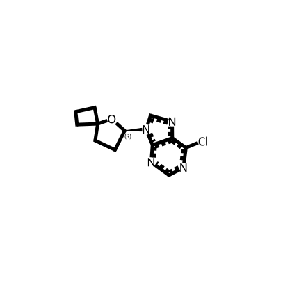 Clc1ncnc2c1ncn2[C@H]1CCC2(CCC2)O1